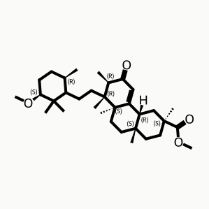 COC(=O)[C@@]1(C)CC[C@]2(C)CC[C@]3(C)C(=CC(=O)[C@H](C)[C@@]3(C)CCC3[C@H](C)CC[C@H](OC)C3(C)C)[C@@H]2C1